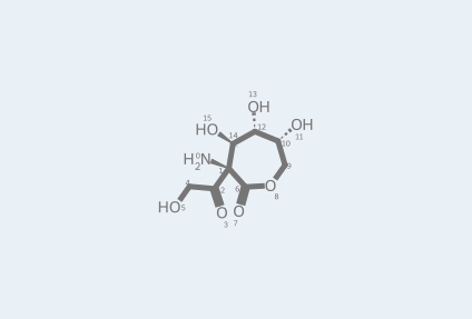 N[C@]1(C(=O)CO)C(=O)OC[C@@H](O)[C@@H](O)[C@@H]1O